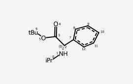 CC(C)N[C@H](C(=O)OC(C)(C)C)c1ccccc1